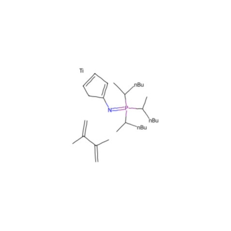 C=C(C)C(=C)C.CCCCC(C)P(=NC1=CC=CC1)(C(C)CCCC)C(C)CCCC.[Ti]